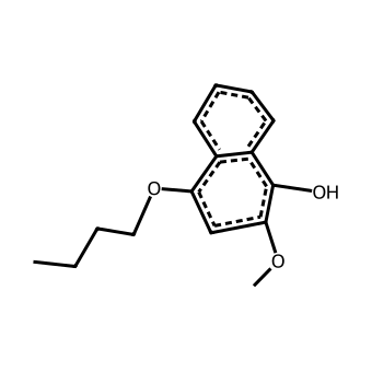 CCCCOc1cc(OC)c(O)c2ccccc12